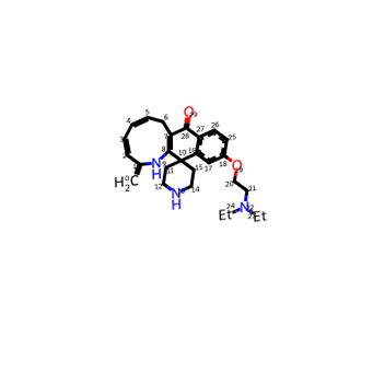 C=C1/C=C\C=C/CC2=C(N1)C1(CCNCC1)c1cc(OCCN(CC)CC)ccc1C2=O